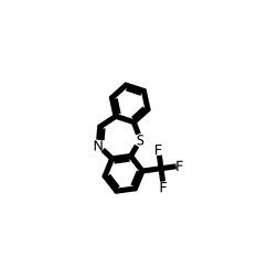 FC(F)(F)c1cccc2c1Sc1ccccc1C=N2